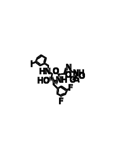 CS(=O)(=O)Nc1ncc(C(=O)N[C@@H](Cc2cc(F)cc(F)c2)[C@H](O)CNCc2cccc(I)c2)o1